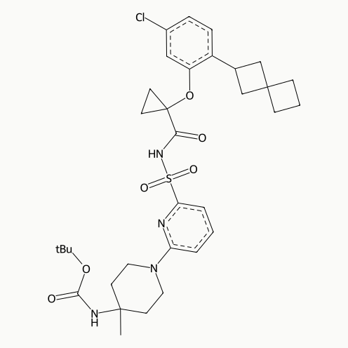 CC1(NC(=O)OC(C)(C)C)CCN(c2cccc(S(=O)(=O)NC(=O)C3(Oc4cc(Cl)ccc4C4CC5(CCC5)C4)CC3)n2)CC1